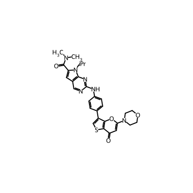 CC(C)n1c(C(=O)N(C)C)cc2cnc(Nc3ccc(-c4csc5c(=O)cc(N6CCOCC6)oc45)cc3)nc21